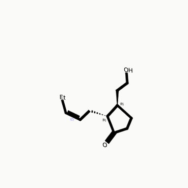 CC/C=C\C[C@H]1C(=O)CC[C@@H]1CCO